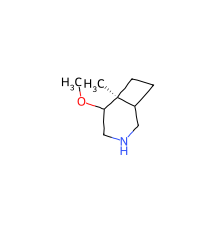 COC1CNCC2CC[C@@]21C